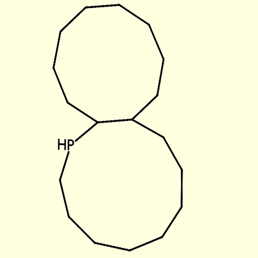 C1CCCCC2CCCCCCCCC2PCCC1